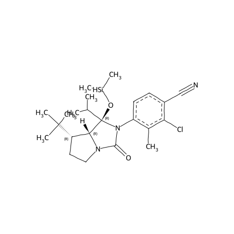 Cc1c(N2C(=O)N3CC[C@H](C(C)(C)C)[C@@H]3[C@]2(O[SiH](C)C)C(C)C)ccc(C#N)c1Cl